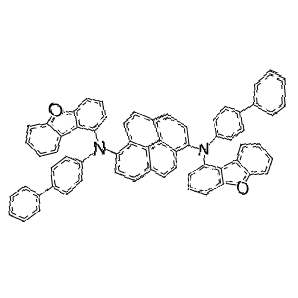 c1ccc(-c2ccc(N(c3ccc4ccc5c(N(c6ccc(-c7ccccc7)cc6)c6cccc7oc8ccccc8c67)ccc6ccc3c4c65)c3cccc4oc5ccccc5c34)cc2)cc1